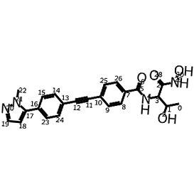 CC(O)C(NC(=O)c1ccc(C#Cc2ccc(-c3ccnn3C)cc2)cc1)C(=O)NO